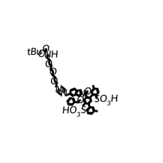 Cc1ccc(S(=O)(=O)O)c(-c2cc(-c3cc(C)ccc3S(=O)(=O)O)c(C(=O)N3Cc4ccc(CN5CCN(CCOCCOCCOCCNC(=O)OC(C)(C)C)CC5)cc4C3)c(OCc3ccccc3)c2C)c1